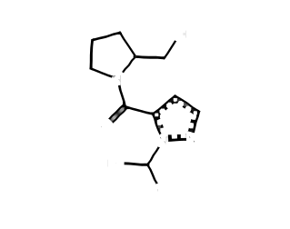 CC(C)n1nccc1C(=O)N1CCCC1CO